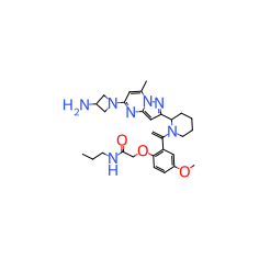 C=C(c1cc(OC)ccc1OCC(=O)NCCC)N1CCCCC1c1cc2nc(N3CC(N)C3)cc(C)n2n1